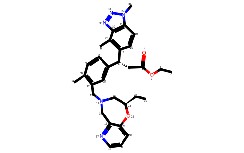 CCOC(=O)C[C@H](c1ccc(C)c(CN2Cc3ncccc3O[C@H](CC)C2)c1)c1ccc2c(nnn2C)c1C